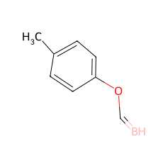 B=COc1ccc(C)cc1